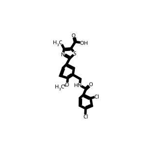 COc1ccc(-c2nc(C)c(C(=O)O)s2)cc1CNC(=O)c1ccc(Cl)cc1Cl